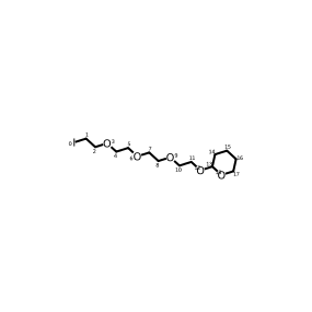 ICCOCCOCCOCCOC1CCCCO1